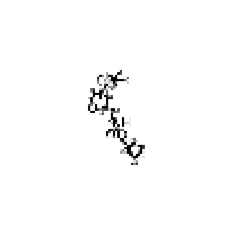 CC(C)(C)OC(=O)N1CCOCC(CCNC(=O)OCc2ccccc2)C1